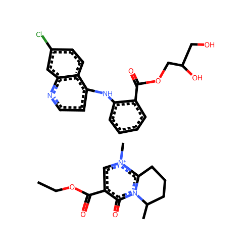 CCOC(=O)c1c[n+](C)c2n(c1=O)C(C)CCC2.O=C(OCC(O)CO)c1ccccc1Nc1ccnc2cc(Cl)ccc12